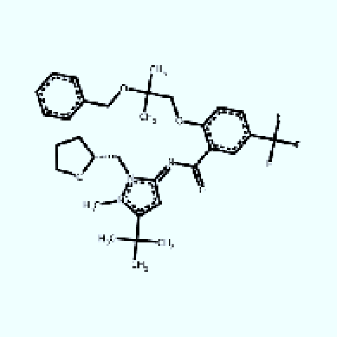 Cn1c(C(C)(C)C)cc(=NC(=O)c2cc(C(F)(F)F)ccc2OCC(C)(C)OCc2ccccc2)n1C[C@H]1CCCO1